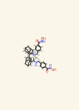 CC(NCc1ccc(C(=O)NO)cc1)C12CC3CC(C1)CC(C1C4CC5CC(C4)CC1(NCc1ccc(C(=O)NO)cc1)C5)(C3)C2